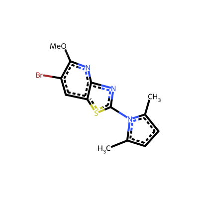 COc1nc2nc(-n3c(C)ccc3C)sc2cc1Br